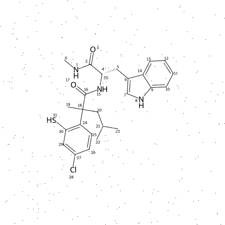 CNC(=O)[C@H](Cc1c[nH]c2ccccc12)NC(=O)C(C)(CC(C)C)c1ccc(Cl)cc1S